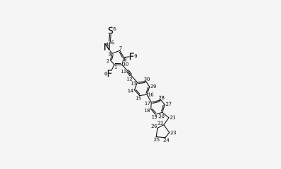 Fc1cc(N=C=S)cc(F)c1C#Cc1ccc(-c2ccc(CC3CCCC3)cc2)cc1